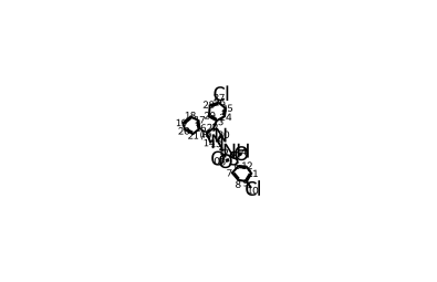 O=C(NS(=O)(=O)c1ccc(Cl)cc1)N1C[C@@H](c2ccccc2)C(c2ccc(Cl)cc2)=N1